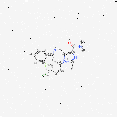 CCN(CC)C(=O)c1nc(C)n2c1CN=C(c1ccccc1F)c1cc(Cl)ccc1-2